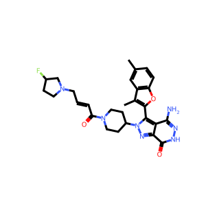 Cc1ccc2oc(-c3c4c(N)n[nH]c(=O)c4nn3C3CCN(C(=O)/C=C/CN4CCC(F)C4)CC3)c(C)c2c1